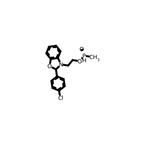 C[PH](=O)OCCN1c2ccccc2OC1c1ccc(Cl)cc1